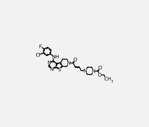 CCOC(=O)N1CCN(C/C=C/C(=O)N2CCc3c(sc4ncnc(Nc5ccc(F)c(Cl)c5)c34)C2)CC1